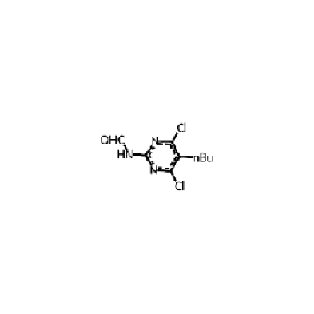 CCCCc1c(Cl)nc(NC=O)nc1Cl